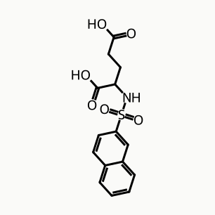 O=C(O)CCC(NS(=O)(=O)c1ccc2ccccc2c1)C(=O)O